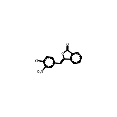 O=C1OC(=Cc2ccc(Cl)c([N+](=O)[O-])c2)c2ccccc21